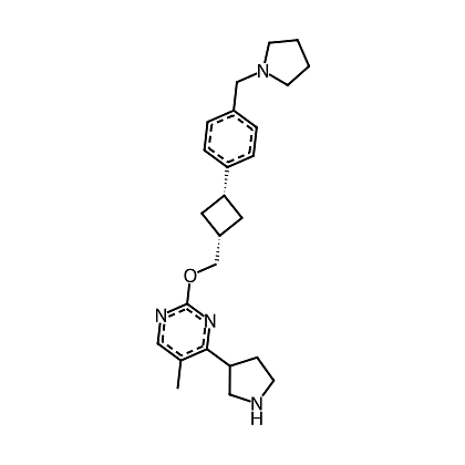 Cc1cnc(OC[C@H]2C[C@@H](c3ccc(CN4CCCC4)cc3)C2)nc1C1CCNC1